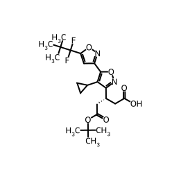 CC(C)(C)OC(=O)C[C@@H](CC(=O)O)c1noc(-c2cc(C(F)(F)C(C)(C)C)on2)c1C1CC1